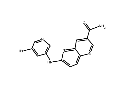 CC(C)c1cnnc(Nc2ccc3ncc(C(N)=O)cc3n2)c1